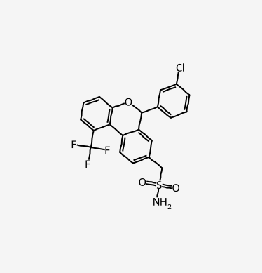 NS(=O)(=O)Cc1ccc2c(c1)C(c1cccc(Cl)c1)Oc1cccc(C(F)(F)F)c1-2